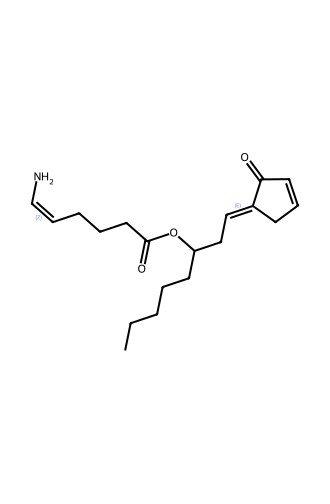 CCCCCC(C/C=C1\CC=CC1=O)OC(=O)CCC/C=C\N